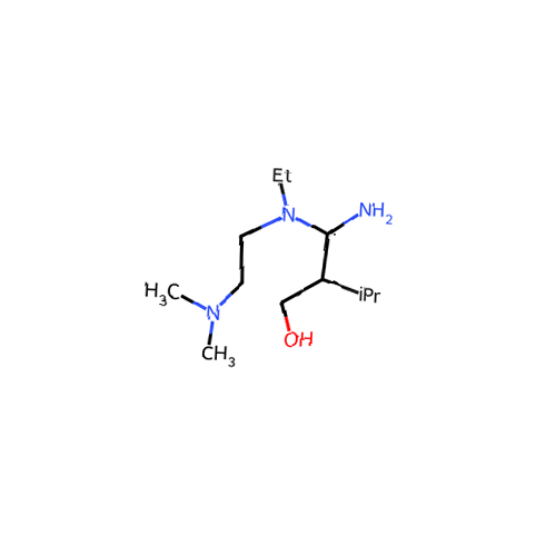 CCN(CCN(C)C)[C](N)C(CO)C(C)C